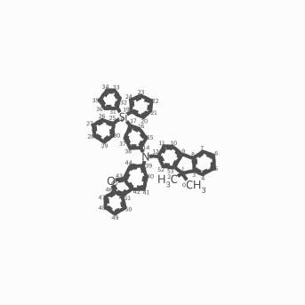 CC1(C)c2ccccc2-c2ccc(N(c3ccc([Si](c4ccccc4)(c4ccccc4)c4ccccc4)cc3)c3ccc4c(c3)oc3ccccc34)cc21